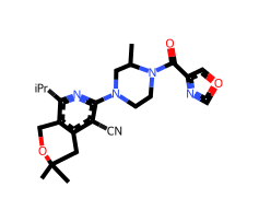 CC(C)c1nc(N2CCN(C(=O)c3cocn3)C(C)C2)c(C#N)c2c1COC(C)(C)C2